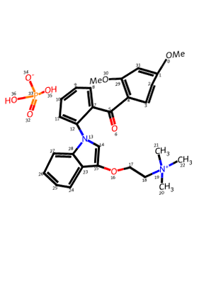 COc1ccc(C(=O)c2ccccc2-n2cc(OCC[N+](C)(C)C)c3ccccc32)c(OC)c1.O=P([O-])(O)O